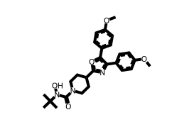 COc1ccc(-c2nc(C3CCN(C(=O)N(O)C(C)(C)C)CC3)oc2-c2ccc(OC)cc2)cc1